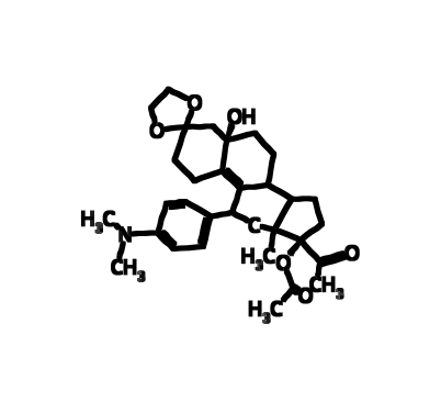 CC(=O)O[C@]1(C(C)=O)CCC2C3CC[C@@]4(O)CC5(CCC4=C3C(c3ccc(N(C)C)cc3)CC21C)OCCO5